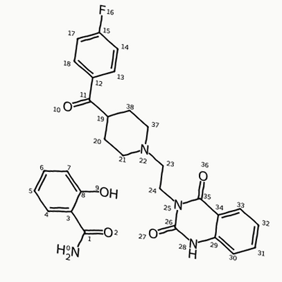 NC(=O)c1ccccc1O.O=C(c1ccc(F)cc1)C1CCN(CCn2c(=O)[nH]c3ccccc3c2=O)CC1